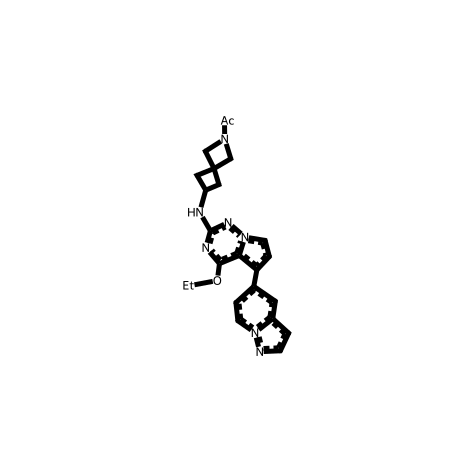 CCOc1nc(NC2CC3(C2)CN(C(C)=O)C3)nn2ccc(-c3ccn4nccc4c3)c12